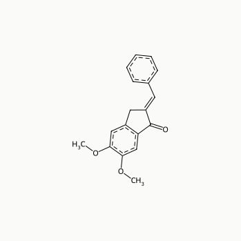 COc1cc2c(cc1OC)C(=O)/C(=C/c1ccccc1)C2